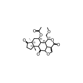 COC[C@H]1OC(=O)C2=COC3C(=O)C4C([C@H](OC(C)=O)C[C@]5(C)C(=O)CC[C@@]45C)[C@]1(C)C23